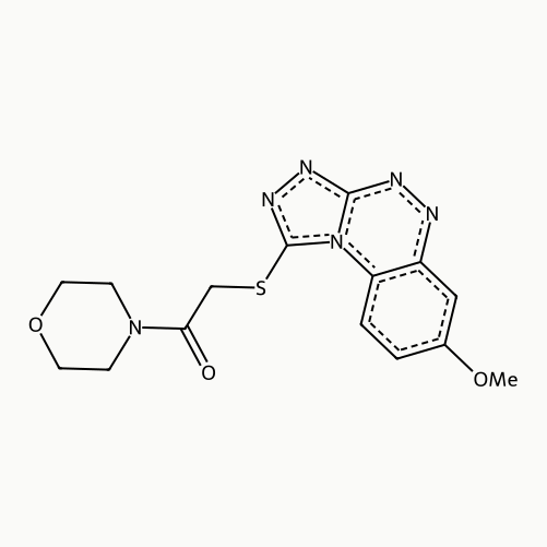 COc1ccc2c(c1)nnc1nnc(SCC(=O)N3CCOCC3)n12